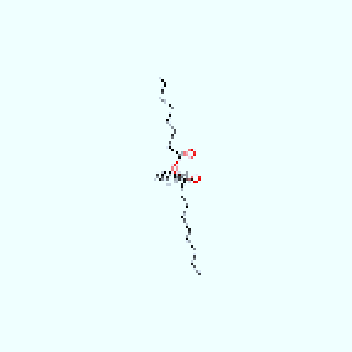 CCCCCCCCC(=O)OC(=O)CCCCCCC.[MgH2].[MgH2]